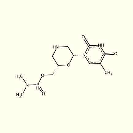 Cc1cn([C@H]2CNC[C@@H](CO[PH](=O)N(C)C)O2)c(=O)[nH]c1=O